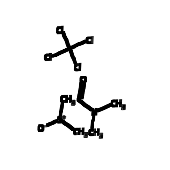 CN(C)C=O.C[S+](C)[O-].ClC(Cl)(Cl)Cl